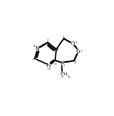 CN1COOCc2cncnc21